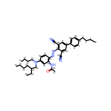 CCCCc1ccc(-c2cc(C#N)c(N=Nc3ccc(N(CCCC)CC(CC)CCCC)cc3NC(C)=O)c(C#N)c2)cc1